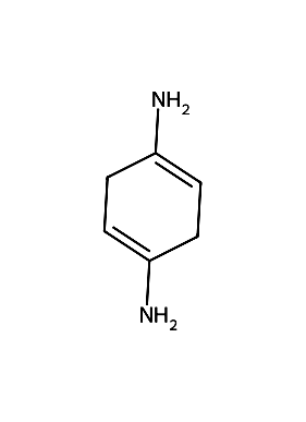 NC1=CCC(N)=CC1